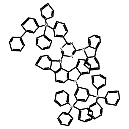 c1ccc(-c2cccc([Si](c3ccccc3)(c3ccccc3)c3cccc(-c4nc(-n5c6ccccc6c6ccccc65)nc(-n5c6ccccc6c6ccc7c(c8ccccc8n7-c7cc([Si](c8ccccc8)(c8ccccc8)c8ccccc8)cc([Si](c8ccccc8)(c8ccccc8)c8ccccc8)c7)c65)n4)c3)c2)cc1